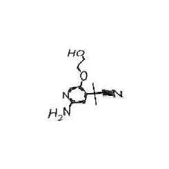 CC(C)(C#N)c1cc(N)ncc1OCCO